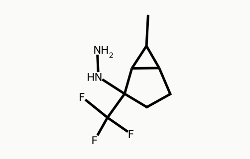 CC1C2CCC(NN)(C(F)(F)F)C12